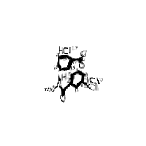 CC(C)(C)N(N)C(=O)c1cccc(Cl)c1.Cl.Cl.O=C(Cl)c1ccccc1